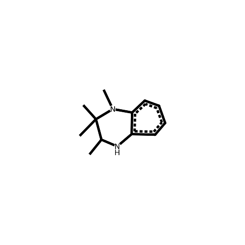 CC1Nc2ccccc2N(C)C1(C)C